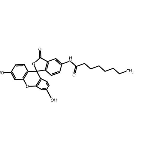 CCCCCCCC(=O)Nc1ccc2c(c1)C(=O)OC21c2ccc(O)cc2Oc2cc(O)ccc21